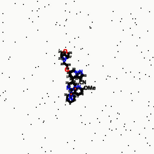 COc1ccc(CN2C3CC2CN(c2ncc(-c4cc(OCCN5C6COCC5C6)cn5ncc(C#N)c45)cn2)C3)cn1